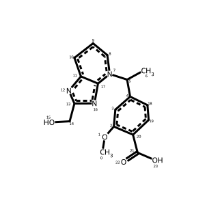 COc1cc(C(C)n2cccc3nc(CO)nc2-3)ccc1C(=O)O